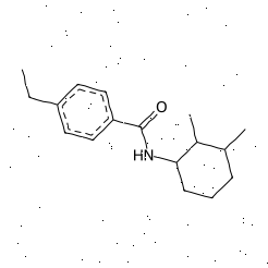 CCc1ccc(C(=O)NC2CCCC(C)C2C)cc1